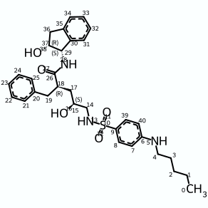 CCCCCNc1ccc(S(=O)(=O)NC[C@@H](O)C[C@@H](Cc2ccccc2)C(=O)N[C@H]2c3ccccc3C[C@H]2O)cc1